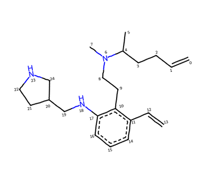 C=CCCC(C)N(C)CCc1c(C=C)cccc1NCC1CCNC1